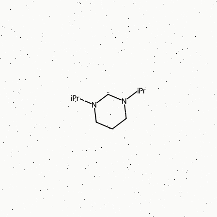 CC(C)N1[C]N(C(C)C)CCC1